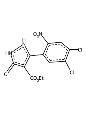 CCOC(=O)c1c(-c2cc(Cl)c(Cl)cc2[N+](=O)[O-])[nH][nH]c1=O